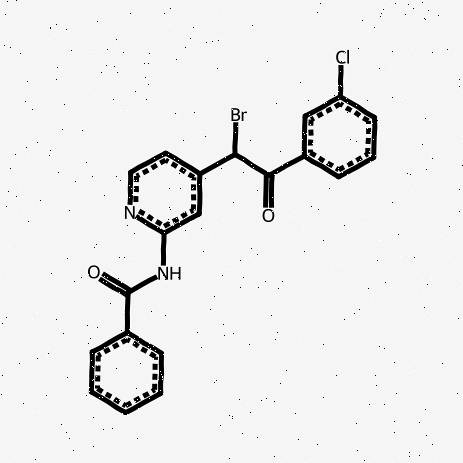 O=C(Nc1cc(C(Br)C(=O)c2cccc(Cl)c2)ccn1)c1ccccc1